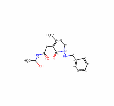 [CH2]C(O)NC(=O)CC1=C(C)CCN(NCc2ccccc2)C1=O